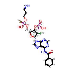 N=CCCOP(O)(=S)OC[C@H]1O[C@@H](n2cnc3c(NC(=O)c4ccccc4)ncnc32)[C@H](F)[C@@H]1O[PH](=O)O